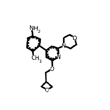 Cc1ccc(N)cc1-c1cc(OCC2COC2)nc(N2CCOCC2)c1